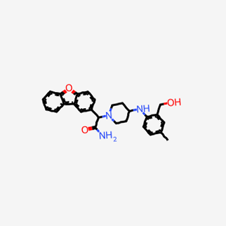 Cc1ccc(NC2CCN(C(C(N)=O)c3ccc4oc5ccccc5c4c3)CC2)c(CO)c1